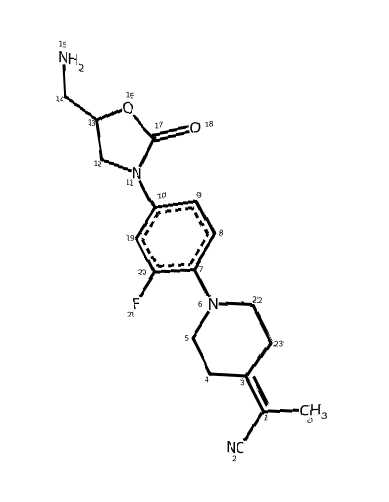 CC(C#N)=C1CCN(c2ccc(N3CC(CN)OC3=O)cc2F)CC1